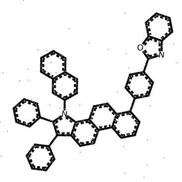 c1ccc(-c2c(-c3ccccc3)n(-c3ccc4ccccc4c3)c3c2ccc2c4cccc(-c5ccc(-c6nc7ccccc7o6)cc5)c4ccc23)cc1